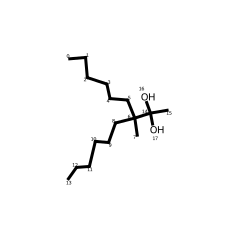 CCCCCCC(C)(CCCCCC)C(C)(O)O